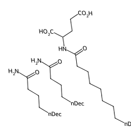 CCCCCCCCCCCCCC(N)=O.CCCCCCCCCCCCCC(N)=O.CCCCCCCCCCCCCCCCCC(=O)NC(CCC(=O)O)C(=O)O